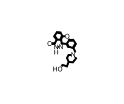 O=c1[nH]nc2c3c(cccc13)Oc1ccc(CN3CCC(CCO)CC3)cc1-2